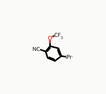 C[C](C)c1ccc(C#N)c(OC(F)(F)F)c1